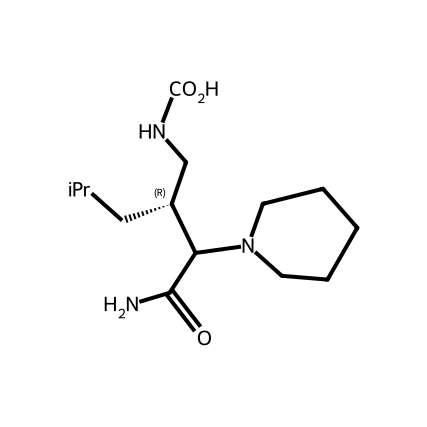 CC(C)C[C@H](CNC(=O)O)C(C(N)=O)N1CCCCC1